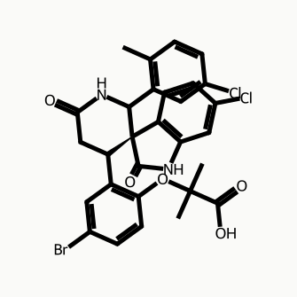 Cc1ccc(Cl)cc1C1NC(=O)CC(c2cc(Br)ccc2OC(C)(C)C(=O)O)[C@@]12C(=O)Nc1cc(Cl)ccc12